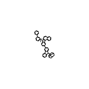 c1ccc(-c2cccc(-n3c4ccc(-c5ccc6c(c5)-c5ccccc5C6C56CC7CC(CC(C7)C5)C6)cc4c4c5ccccc5ccc43)c2)cc1